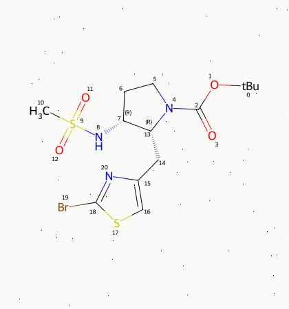 CC(C)(C)OC(=O)N1CC[C@@H](NS(C)(=O)=O)[C@H]1Cc1csc(Br)n1